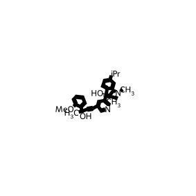 COc1ccccc1C(C)(O)C#Cc1cncc([C@@](O)(c2ccc(C(C)C)cc2)C2(C)CN(C)C2)c1